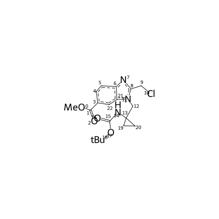 COC(=O)c1ccc2nc(CCl)n(CC3(NC(=O)OC(C)(C)C)CC3)c2c1